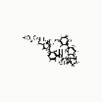 O=C(O)NCc1cn(-c2cccc(NC(=O)N3c4nc(-c5cccc(C(F)(F)F)c5)ccc4N4CC[C@H]3C4)c2)nn1